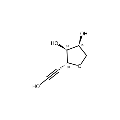 OC#C[C@H]1OC[C@H](O)[C@@H]1O